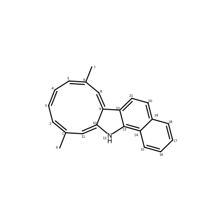 Cc1ccccc(C)cc2c(c1)[nH]c1c3ccccc3ccc21